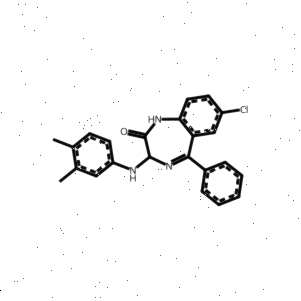 Cc1ccc(NC2N=C(c3ccccc3)c3cc(Cl)ccc3NC2=O)cc1C